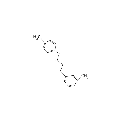 Cc1ccc(C[CH]CCc2cccc(C)c2)cc1